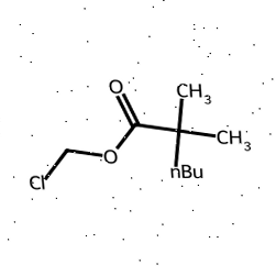 CCCCC(C)(C)C(=O)OCCl